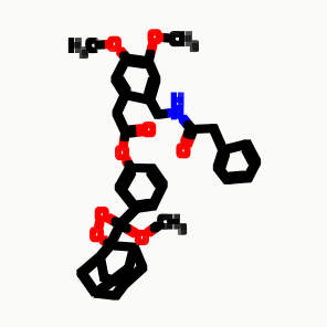 COc1cc(CNC(=O)Cc2ccccc2)c(CC(=O)Oc2cccc(C3(OC)OOC34C3CC5CC(C3)CC4C5)c2)cc1OC